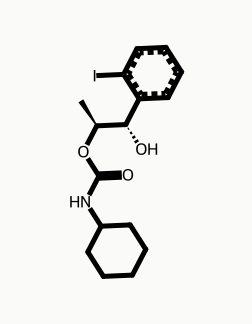 C[C@H](OC(=O)NC1CCCCC1)[C@@H](O)c1ccccc1I